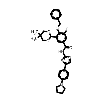 CC1(C)COC(c2cc(C(=O)Nc3ncc(-c4ccc(N5CCCC5)cc4)s3)cc(F)c2OCc2ccccc2)OC1